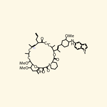 C=CCC1/C=C(\C)CC(C)CC(OC)C2OC(O)(C(=O)C(=O)N3CCCCC3C(=O)OC(C(C)=CC3CCC(Nc4ccc5c(ccn5C)c4)C(OC)C3)C(C)CCC1=O)C(C)CC2OC